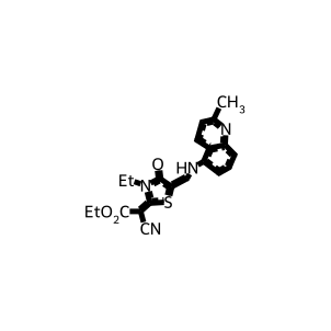 CCOC(=O)C(C#N)=c1sc(=CNc2cccc3nc(C)ccc23)c(=O)n1CC